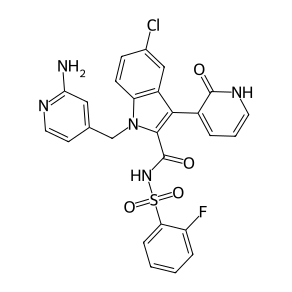 Nc1cc(Cn2c(C(=O)NS(=O)(=O)c3ccccc3F)c(-c3ccc[nH]c3=O)c3cc(Cl)ccc32)ccn1